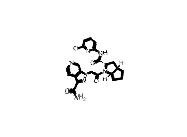 NC(=O)c1nn(CC(=O)N2[C@H](C(=O)Nc3cccc(Cl)n3)C[C@@H]3CCC[C@@H]32)c2cnccc12